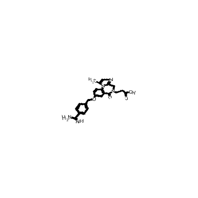 Cc1cnc2n1-c1ccc(OCc3ccc(C(=N)N)cc3)cc1C(=O)N(CCC(=O)O)C2